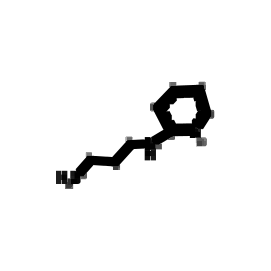 BCCCNc1ccccn1